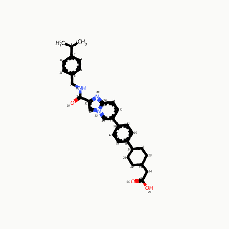 CC(C)c1ccc(CNC(=O)c2cn3cc(-c4ccc(C5CCC(CC(=O)O)CC5)cc4)ccc3n2)cc1